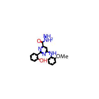 COc1ccccc1Nc1cc(C(=O)NN)nc(-c2ccccc2O)n1